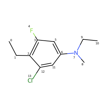 CCc1c(F)cc(N(C)CC)cc1Cl